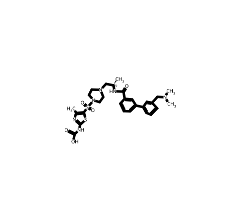 Cc1nc(NC(=O)O)sc1S(=O)(=O)N1CCN(C[C@H](C)NC(=O)c2cccc(-c3cccc(CN(C)C)c3)c2)CC1